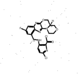 C[C@@H](Nc1ccc(Cl)nc1C(=O)Cl)c1cc(F)cc2nc3c(nc12)N1CCOC[C@H]1CO3